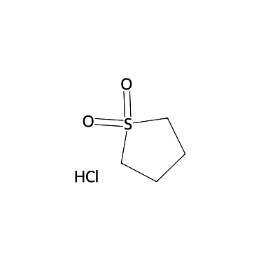 Cl.O=S1(=O)CCCC1